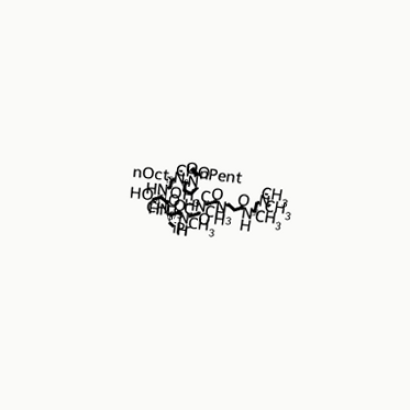 CCCCCCCC[C@@H](C(=O)N[C@H](C(=O)N[C@@H](CC(C)C)C(=O)NC(C)(C)C(=O)NC(C)(C)C(=O)NCCC(=O)N[C@@H](C)CN(C)C)[C@@H](C)O)N(C=O)[C@@H]1CCCN1C(=O)CCCCC